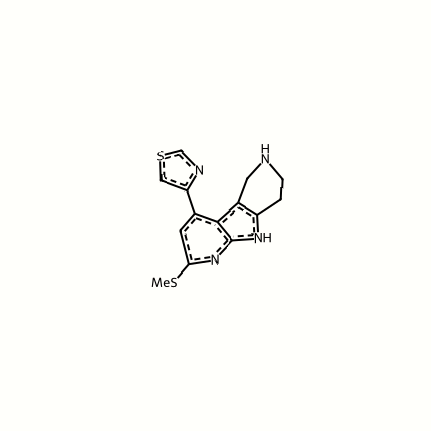 CSc1cc(-c2cscn2)c2c3c([nH]c2n1)CCNC3